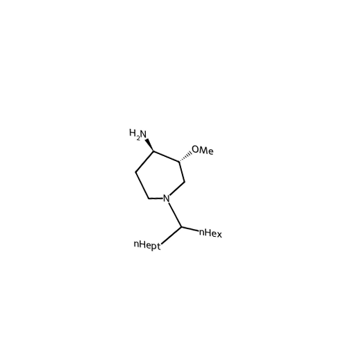 CCCCCCCC(CCCCCC)N1CC[C@@H](N)[C@H](OC)C1